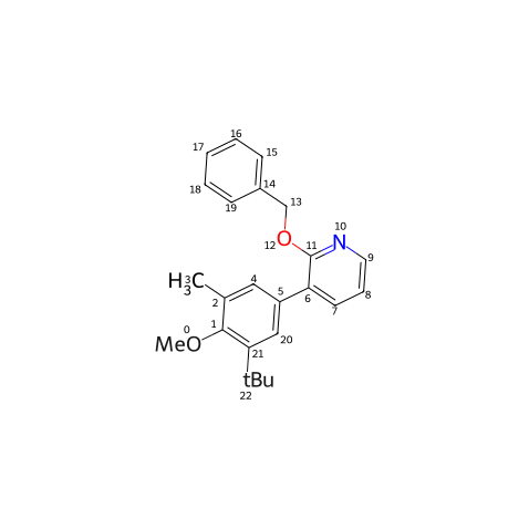 COc1c(C)cc(-c2cccnc2OCc2ccccc2)cc1C(C)(C)C